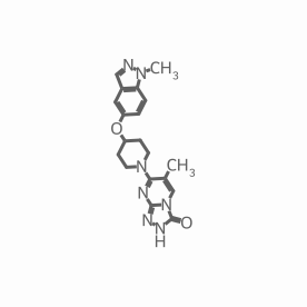 Cc1cn2c(=O)[nH]nc2nc1N1CCC(Oc2ccc3c(cnn3C)c2)CC1